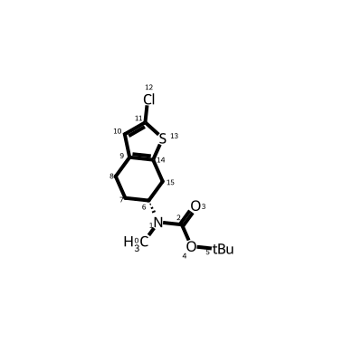 CN(C(=O)OC(C)(C)C)[C@@H]1CCc2cc(Cl)sc2C1